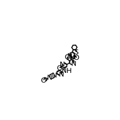 Cn1cc(-c2cncc(-n3ncc4c5c(sc4c3=O)CCCC5)c2CO)cc(Nc2ccc(N3CCN(C4COC4)CC3)cn2)c1=O